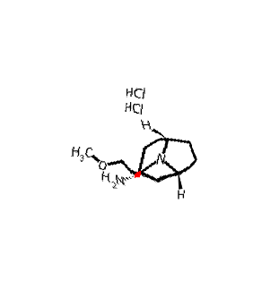 COCCN1[C@@H]2CC[C@H]1C[C@@H](N)C2.Cl.Cl